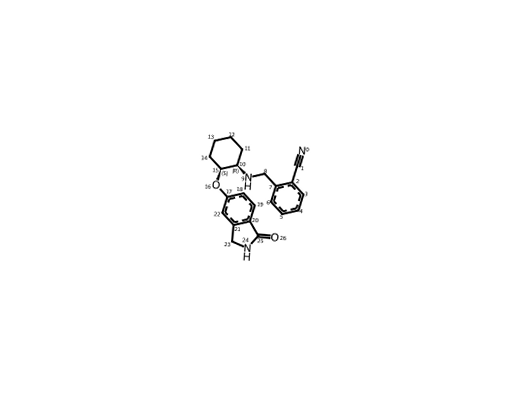 N#Cc1ccccc1CN[C@@H]1CCCC[C@@H]1Oc1ccc2c(c1)CNC2=O